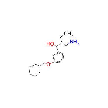 CCC(CN)C(O)c1cccc(OCC2CCCCC2)c1